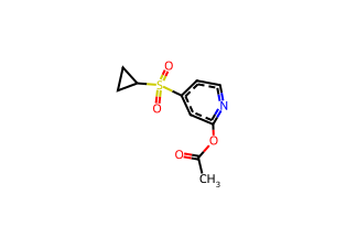 CC(=O)Oc1cc(S(=O)(=O)C2CC2)ccn1